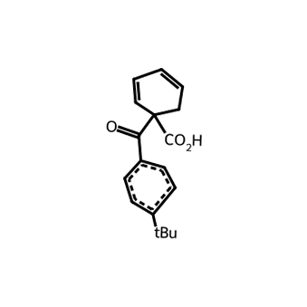 CC(C)(C)c1ccc(C(=O)C2(C(=O)O)C=CC=CC2)cc1